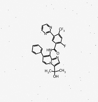 CC(C)(O)c1cnc2c(NC(=O)c3cc(-c4ncccn4)c(C(F)(F)F)cc3F)c(-c3ccccc3)ccn12